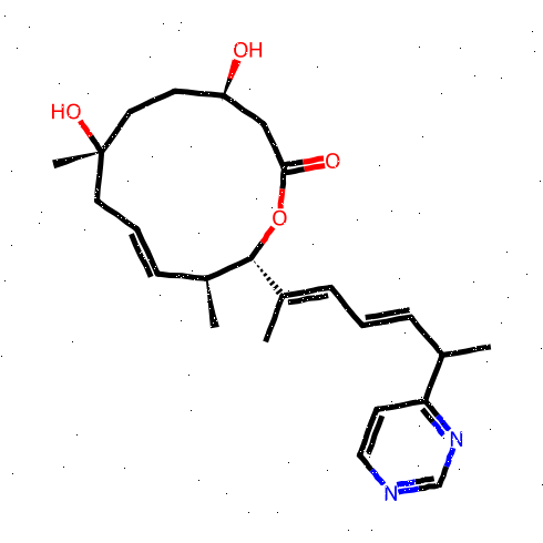 C/C(=C\C=C\C(C)c1ccncn1)[C@H]1OC(=O)C[C@H](O)CC[C@@](C)(O)C/C=C/[C@@H]1C